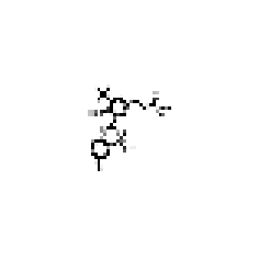 COC(=O)CCc1cc(/N=N/c2ccc(Br)cc2[N+](=O)[O-])c(O)c(C(C)(C)C)c1